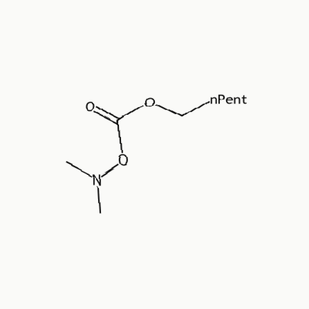 CCCCCCOC(=O)ON(C)C